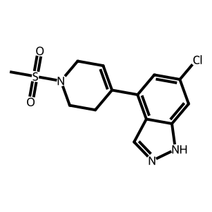 CS(=O)(=O)N1CC=C(c2cc(Cl)cc3[nH]ncc23)CC1